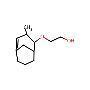 CC1C=C2CCCC(C2)C1OCCO